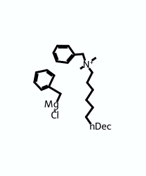 CCCCCCCCCCCCCCCC[N+](C)(C)Cc1ccccc1.[Cl][Mg][CH2]c1ccccc1